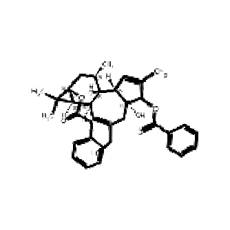 CC1=C[C@H]2[C@@]3(O)[C@H](C)C[C@]4(OC(=O)Cc5ccccc5)[C@@H]([C@@H]3C=C(CO)C[C@]2(O)C1OC(=O)c1ccccc1)C4(C)C